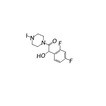 O=C(C(O)c1ccc(F)cc1F)N1CCN(I)CC1